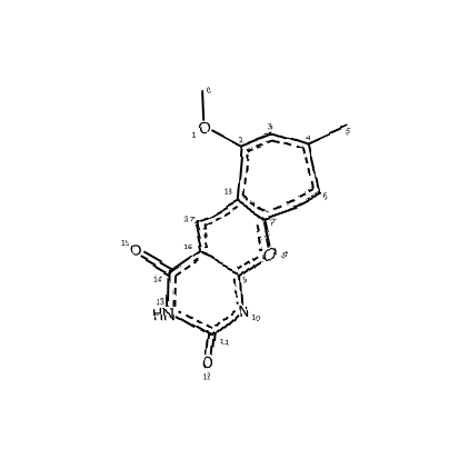 COc1cc(C)cc2oc3nc(=O)[nH]c(=O)c-3cc12